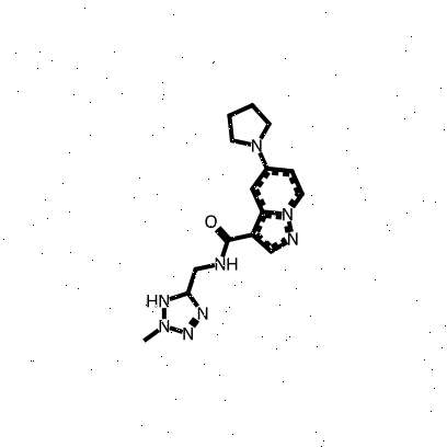 CN1N=NC(CNC(=O)c2cnn3ccc(N4CCCC4)cc23)N1